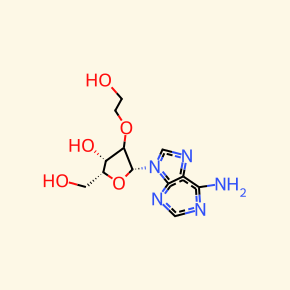 Nc1ncnc2c1ncn2[C@@H]1O[C@H](CO)[C@H](O)C1OCCO